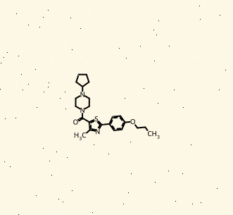 CCCOc1ccc(-c2nc(C)c(C(=O)N3CCN(C4CCCC4)CC3)s2)cc1